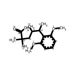 COc1cccc(OC)c1C(C)C(C)CC(C)(N)C(=O)O